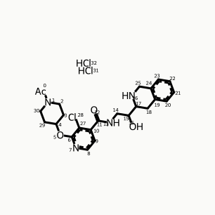 CC(=O)N1CCC(Oc2nccc(C(=O)NCC(O)C3Cc4ccccc4CN3)c2Cl)CC1.Cl.Cl